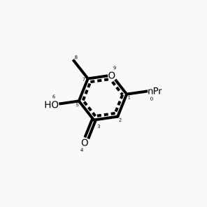 CCCc1cc(=O)c(O)c(C)o1